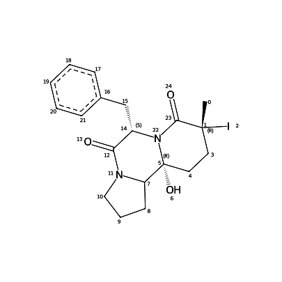 C[C@@]1(I)CC[C@@]2(O)C3CCCN3C(=O)[C@H](Cc3ccccc3)N2C1=O